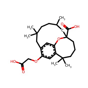 CC1CCC(C)(C)Cc2cc3c(cc2OCC(=O)O)C(C)(C)CCCC(C(=O)O)(C1)O3